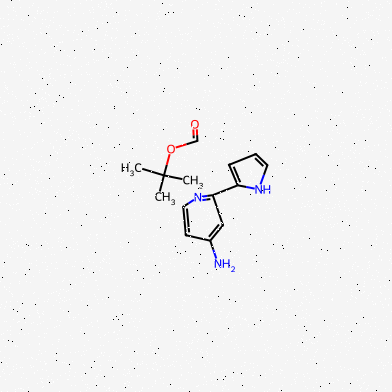 CC(C)(C)OC=O.Nc1ccnc(-c2ccc[nH]2)c1